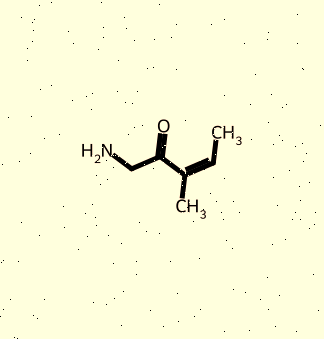 CC=C(C)C(=O)CN